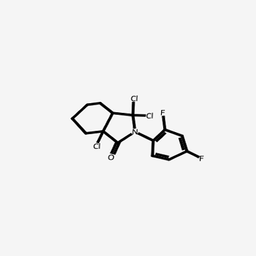 O=C1N(c2ccc(F)cc2F)C(Cl)(Cl)C2CCCCC12Cl